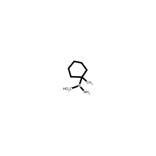 CC1(N(N)C(=O)O)CCCCC1